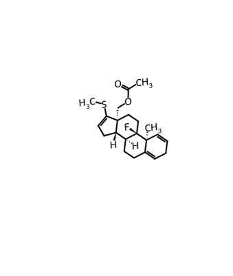 CSC1=CC[C@H]2[C@@H]3CCC4=CCC=C[C@]4(C)[C@@]3(F)CC[C@]12COC(C)=O